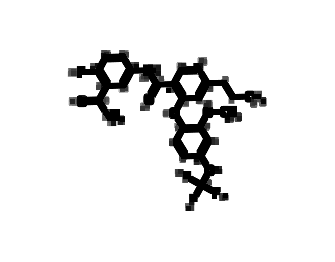 CCCc1cc(Oc2ccc(OC(F)(F)F)cc2OC)c(C(=O)Nc2ccc(F)c(C(N)=O)c2)cn1